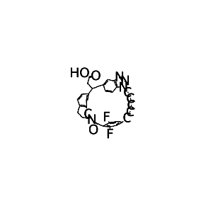 O=C(O)CC1c2ccc3c(c2)CN(CC3)C(=O)c2c(F)cc(cc2F)CCCCCn2nnc3cc1ccc32